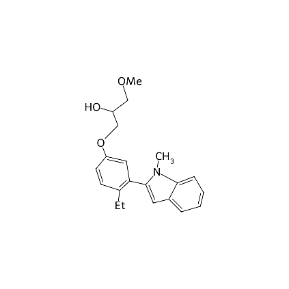 CCc1ccc(OCC(O)COC)cc1-c1cc2ccccc2n1C